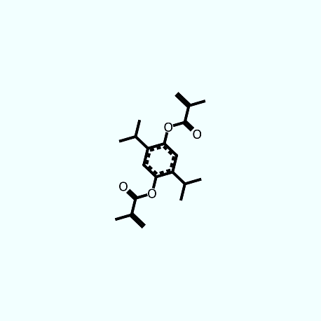 C=C(C)C(=O)Oc1cc(C(C)C)c(OC(=O)C(=C)C)cc1C(C)C